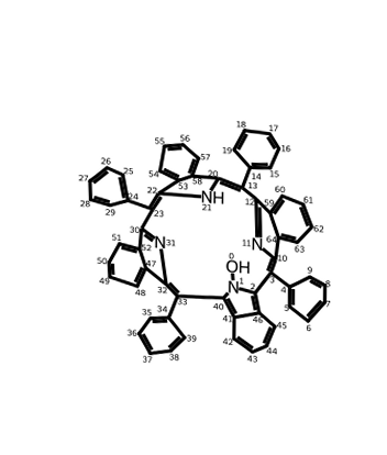 On1c2c(-c3ccccc3)c3nc(c(-c4ccccc4)c4[nH]c(c(-c5ccccc5)c5nc(c(-c6ccccc6)c1c1ccccc12)-c1ccccc1-5)c1ccccc41)-c1ccccc1-3